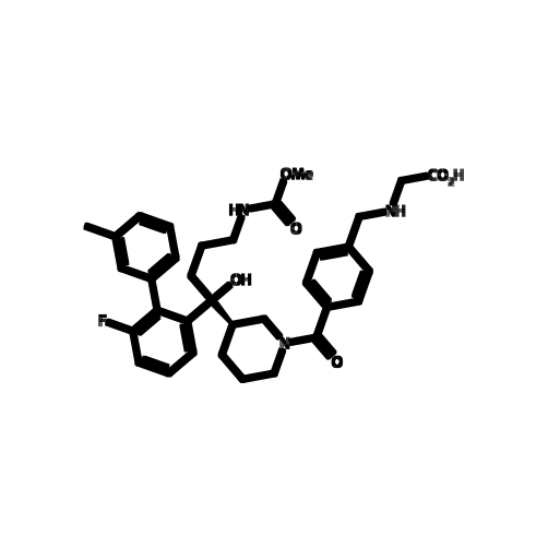 COC(=O)NCCCC(O)(c1cccc(F)c1-c1cccc(C)c1)[C@@H]1CCCN(C(=O)c2ccc(CNCC(=O)O)cc2)C1